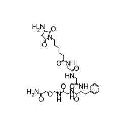 NC(=O)COCNC(=O)CNC(=O)C(Cc1ccccc1)NC(=O)CNC(=O)CNC(=O)CCCCCN1C(=O)CC(N)C1=O